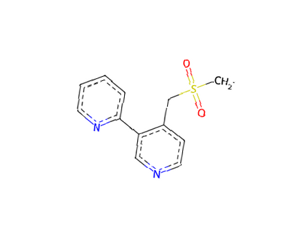 [CH2]S(=O)(=O)Cc1ccncc1-c1ccccn1